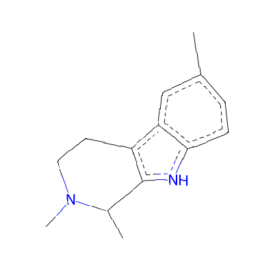 Cc1ccc2[nH]c3c(c2c1)CCN(C)C3C